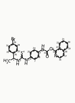 CC(NC(=S)Nc1ccc(NC(=O)Oc2nccc3ccccc23)cc1)c1ccc(Br)cc1